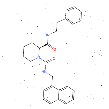 O=C(NCCc1ccccc1)[C@@H]1CCCCN1C(=O)NCc1cccc2ccccc12